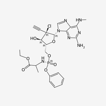 C#C[C@@]1(Cl)[C@H](O)[C@@H](CO[P@](=O)(NC(C)C(=O)OCC)Oc2ccccc2)O[C@H]1n1cnc2c(NC)nc(N)nc21